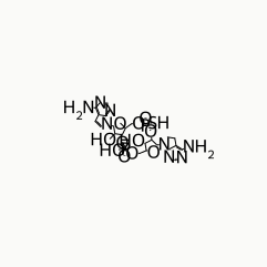 Nc1ncnc2c1CCN2C1OC2COP(=O)(O)OC3C(COP(=O)(S)OC1C2O)OC(n1ccc2c(N)ncnc21)C3O